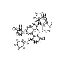 C[C@H]1CC[C@H](Cn2c(N3CCO[C@@H]4CCC[C@H]43)nc3cc(-c4noc(=O)[nH]4)nc(-c4cc(Cl)cnc4OCc4ccccc4)c32)CC1